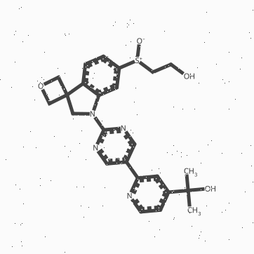 CC(C)(O)c1ccnc(-c2cnc(N3CC4(COC4)c4ccc([S+]([O-])CCO)cc43)nc2)c1